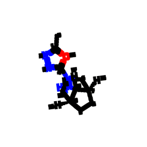 Cc1nnc(N2C[C@H]3CC[C@@H](C2)[C@@H]3N)o1